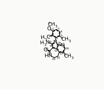 COc1ccc(C)c(-n2c(N)c3c4c(c(C)cnc42)CCNC3=O)c1C